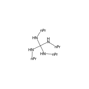 CCCNC(NCCC)(NCCC)NCCC